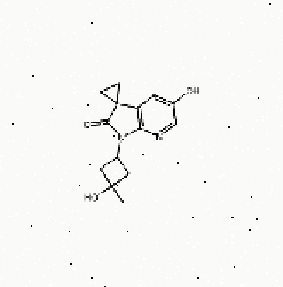 CC1(O)CC(N2C(=O)C3(CC3)c3cc(O)cnc32)C1